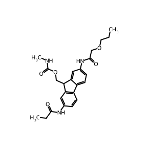 CCCOCC(=O)Nc1ccc2c(c1)C(COC(=O)NC)c1cc(NC(=O)CC)ccc1-2